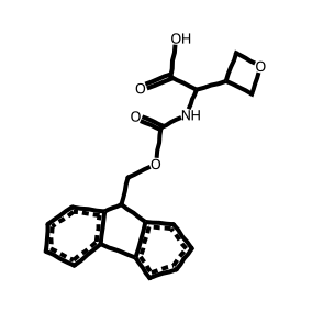 O=C(NC(C(=O)O)C1COC1)OCC1c2ccccc2-c2ccccc21